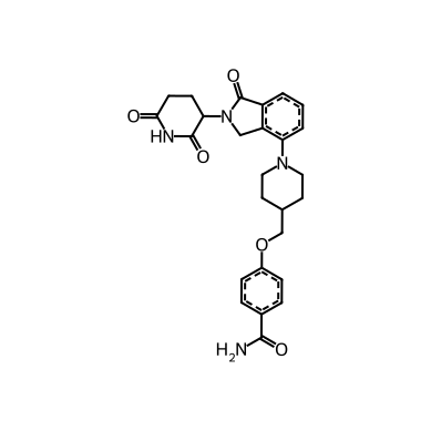 NC(=O)c1ccc(OCC2CCN(c3cccc4c3CN(C3CCC(=O)NC3=O)C4=O)CC2)cc1